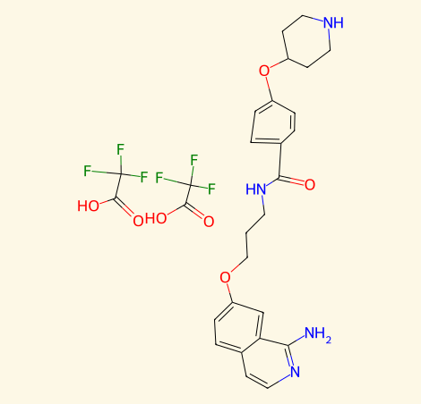 Nc1nccc2ccc(OCCCNC(=O)c3ccc(OC4CCNCC4)cc3)cc12.O=C(O)C(F)(F)F.O=C(O)C(F)(F)F